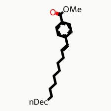 CCCCCCCCCCCCCCCCCC=Cc1ccc(C(=O)OC)cc1